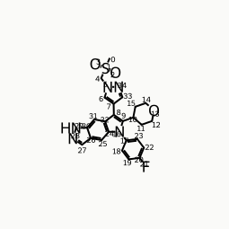 CS(=O)(=O)Cn1cc(-c2c(C3CCOCC3)n(-c3ccc(F)cc3)c3cc4cn[nH]c4cc23)cn1